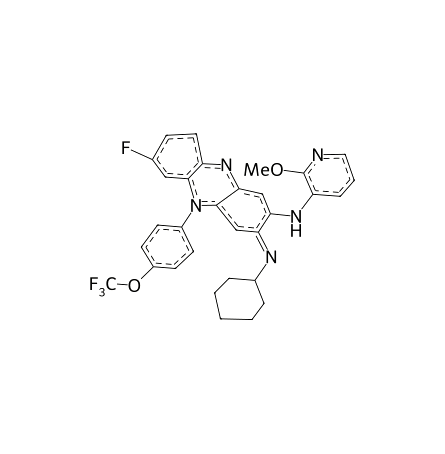 COc1ncccc1Nc1cc2nc3ccc(F)cc3n(-c3ccc(OC(F)(F)F)cc3)c-2c/c1=N\C1CCCCC1